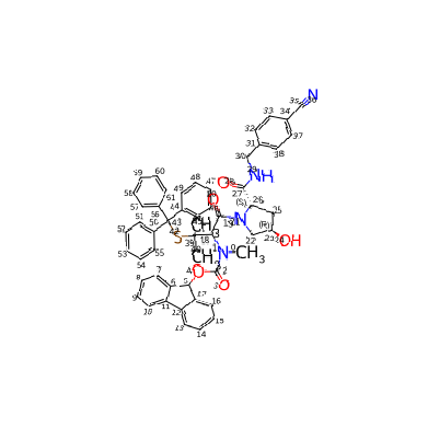 CN(C(=O)OC1c2ccccc2-c2ccccc21)C(C(=O)N1C[C@H](O)C[C@H]1C(=O)NCc1ccc(C#N)cc1)C(C)(C)SC(c1ccccc1)(c1ccccc1)c1ccccc1